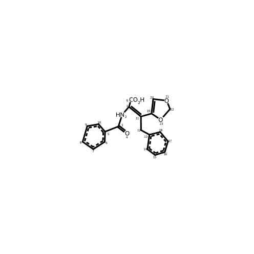 O=C(O)C(NC(=O)c1ccccc1)=C(Cc1ccccc1)C1=COCO1